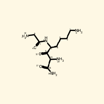 NCCCCC(NC(=O)CN)C(=O)C(N)C(N)=O